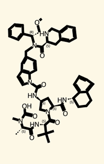 COC[C@@H](c1ccccc1)N(Cc1ccc2c(ccn2C(=O)N[C@H]2C[C@@H](C(=O)N[C@H]3CCCc4ccccc43)N(C(=O)[C@@H](NC(=O)[C@H](C)N(C)C(=O)O)C(C)(C)C)C2)c1)C(=O)[C@@H]1Cc2ccccc2CN1